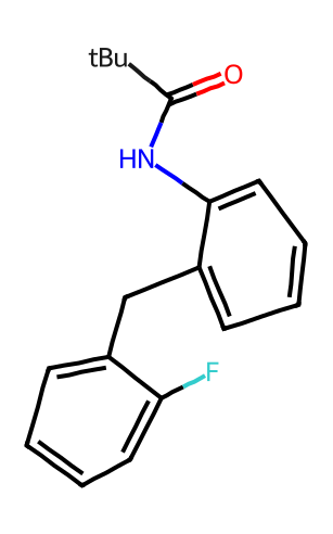 CC(C)(C)C(=O)Nc1ccccc1Cc1ccccc1F